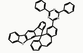 C1=Cc2ccc(-c3nc(-c4ccccc4)nc(-c4ccccc4)n3)cc2C2(c3ccccc31)c1ccccc1-c1cc3c(cc12)sc1ccccc13